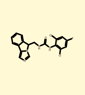 O=C(NCC1c2ccccc2-c2cncn21)Nc1c(Cl)cc(F)cc1Cl